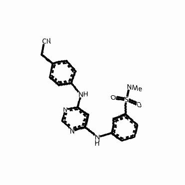 CNS(=O)(=O)c1cccc(Nc2cc(Nc3ccc(CC#N)cc3)ncn2)c1